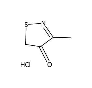 CC1=NSCC1=O.Cl